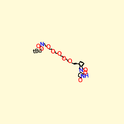 CN(CCOCCOCCOCCOCCOCC#Cc1cccc2c1CN(C1CCC(=O)NC1=O)C2=O)C(=O)OC(C)(C)C